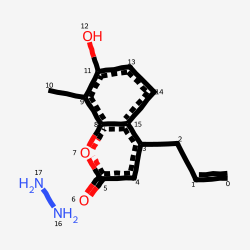 C=CCc1cc(=O)oc2c(C)c(O)ccc12.NN